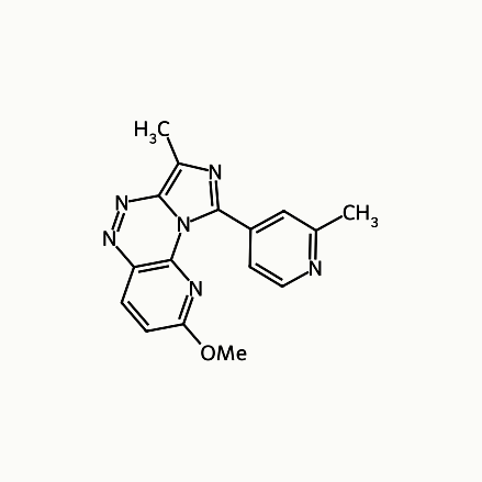 COc1ccc2nnc3c(C)nc(-c4ccnc(C)c4)n3c2n1